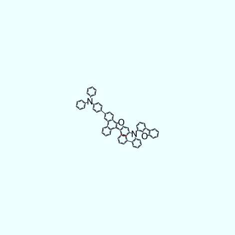 c1ccc(-c2ccccc2N(c2ccc3c(c2)oc2c4ccc(-c5ccc(N(c6ccccc6)c6ccccc6)cc5)cc4c4ccccc4c32)c2cccc3c2oc2ccccc23)cc1